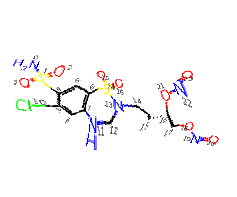 NS(=O)(=O)c1cc2c(cc1Cl)NCN(CC[C@@H](CON=O)ON=O)S2(=O)=O